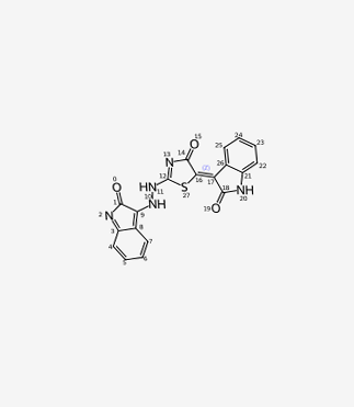 O=C1N=c2ccccc2=C1NNC1=NC(=O)/C(=C2/C(=O)Nc3ccccc32)S1